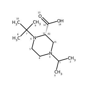 CC(C)N1CCN(C(C)(C)C)[C@H](C(=O)O)C1